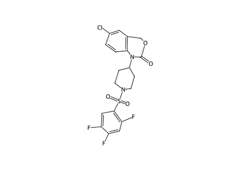 O=C1OCc2cc(Cl)ccc2N1C1CCN(S(=O)(=O)c2cc(F)c(F)cc2F)CC1